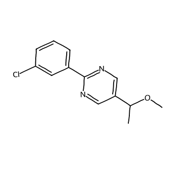 COC(C)c1cnc(-c2cccc(Cl)c2)nc1